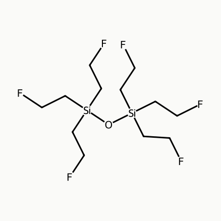 FCC[Si](CCF)(CCF)O[Si](CCF)(CCF)CCF